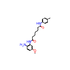 COc1ccc(N)c(NC(=O)CCCCCC(=O)Nc2ccc(C)cc2)c1